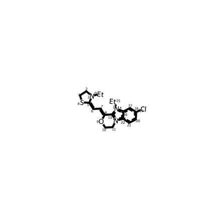 CCN1CCSC1=CC=C1OCCn2c1[n+](CC)c1cc(Cl)ccc12